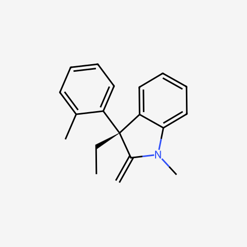 C=C1N(C)c2ccccc2[C@@]1(CC)c1ccccc1C